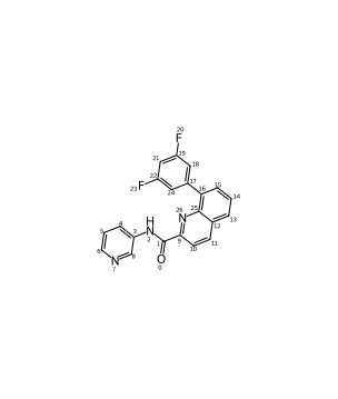 O=C(Nc1cccnc1)c1ccc2cccc(-c3cc(F)cc(F)c3)c2n1